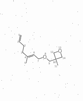 C=CCC/C(C)=C/COCC1(C)COC1